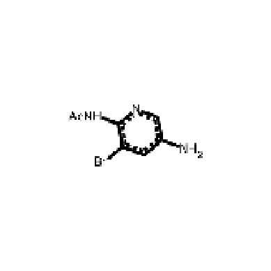 CC(=O)Nc1ncc(N)cc1Br